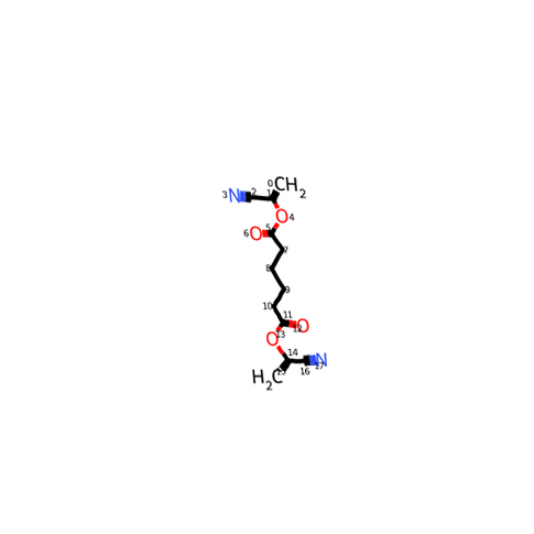 C=C(C#N)OC(=O)CCCCC(=O)OC(=C)C#N